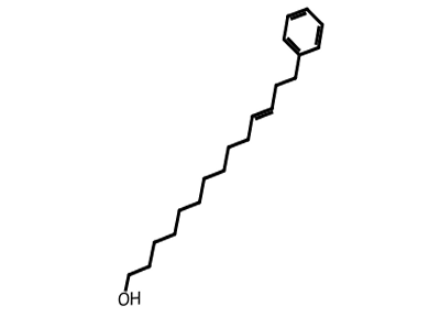 OCCCCCCCCCCC=CCCc1ccccc1